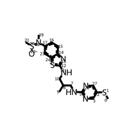 CSc1cnc(NCC(C)CNc2nc3ccc(N(C)[S+](C)[O-])cc3s2)nc1